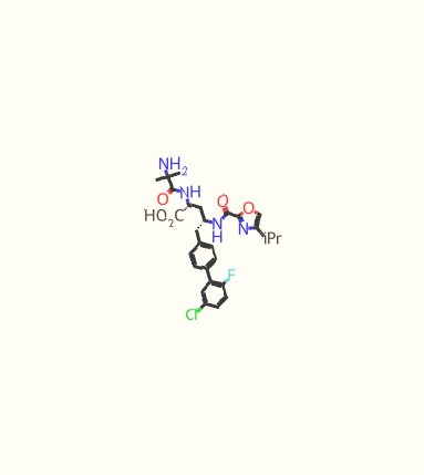 CC(C)c1coc(C(=O)N[C@H](Cc2ccc(-c3cc(Cl)ccc3F)cc2)C[C@@H](NC(=O)C(C)(C)N)C(=O)O)n1